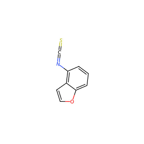 S=C=Nc1cccc2occc12